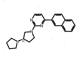 c1ccc2cc(-c3ccnc(N4CC[C@@H](N5CCCC5)C4)n3)ccc2c1